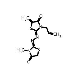 C=CCN1C(=O)C(=C)SC1=NN=C1SCC(=O)N1C